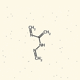 C=NNC(=C)N=C